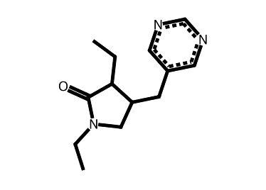 CCC1C(=O)N(CC)CC1Cc1cncnc1